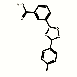 COC(=O)c1cccc(N2OOC(c3ccc(F)cc3)O2)c1